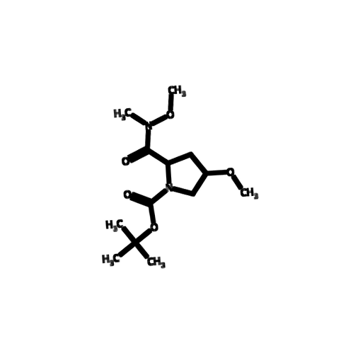 COC1CC(C(=O)N(C)OC)N(C(=O)OC(C)(C)C)C1